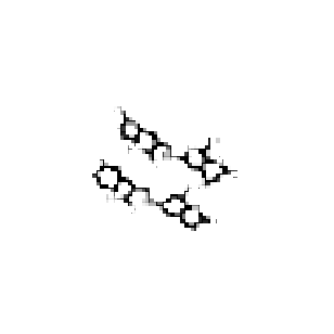 COc1cc(NCc2cc3cc(Cl)ccc3[nH]c2=O)cc2ccc(=O)oc12.Cc1nc(NCc2cc3cc(Cl)ccc3[nH]c2=O)cc2ccc(=O)oc12